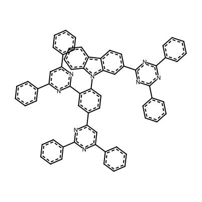 c1ccc(-c2cc(-c3ccc(-n4c5ccccc5c5ccc(-c6nc(-c7ccccc7)nc(-c7ccccc7)n6)cc54)c(-c4nc(-c5ccccc5)cc(-c5ccccc5)n4)c3)nc(-c3ccccc3)n2)cc1